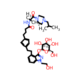 CC(C)CN1CCN(C(=O)C(C)(C)NC(=O)CCCc2ccc(CCc3cccc4c3c(O[C@@H]3O[C@H](CO)[C@@H](O)[C@H](O)[C@H]3O)nn4CCO)cc2)CC1